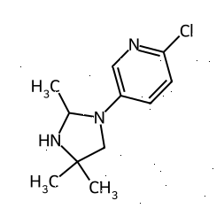 CC1NC(C)(C)CN1c1ccc(Cl)nc1